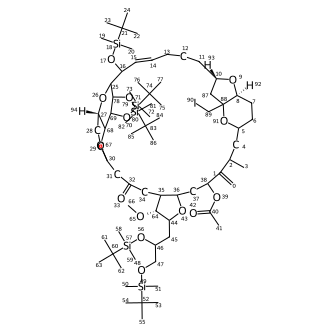 C=C1C(C)CC2CC[C@@H]3O[C@@H](CCC/C=C/C(O[Si](C)(C)C(C)(C)C)C4O[C@H]5CCC(CC(=O)CC6C(CC1OC(C)=O)OC(CC(CO[Si](C)(C)C(C)(C)C)O[Si](C)(C)C(C)(C)C)[C@@H]6OC)OC5C(O[Si](C)(C)C(C)(C)C)C4O[Si](C)(C)C(C)(C)C)CC3(CI)O2